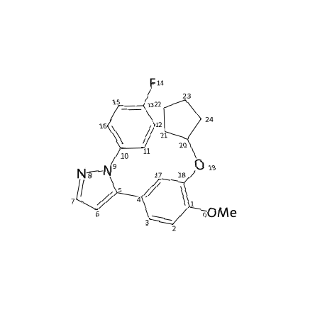 COc1ccc(-c2ccnn2-c2ccc(F)cc2)cc1OC1CCCC1